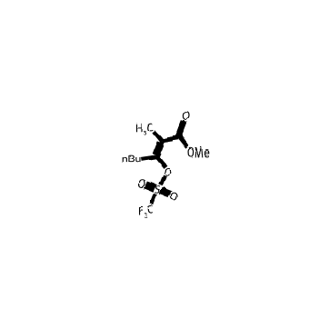 CCCC/C(OS(=O)(=O)C(F)(F)F)=C(\C)C(=O)OC